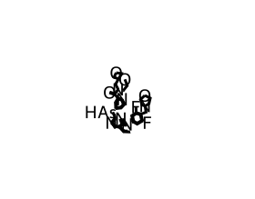 O=C(c1cc([AsH]c2ncc3ccn(-c4cc(F)c(CN5CCOCC5)c(F)c4)c3n2)ccn1)N1CCOC2(COC2)C1